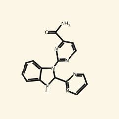 NC(=O)c1ccnc(N2c3ccccc3NC2c2ncccn2)n1